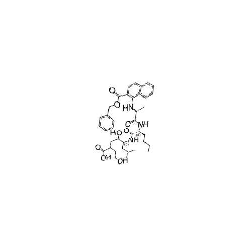 CCCC[C@H](NC(=O)C(C)Nc1c(C(=O)OCc2ccccc2)ccc2ccccc12)C(=O)N[C@@H](CC(C)C)C(O)CC(CCO)C(=O)O